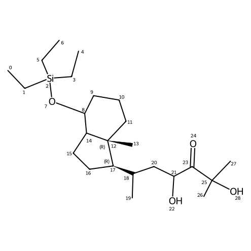 CC[Si](CC)(CC)OC1CCC[C@@]2(C)C1CC[C@@H]2C(C)CC(O)C(=O)C(C)(C)O